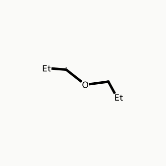 [CH2]C[CH]OCCC